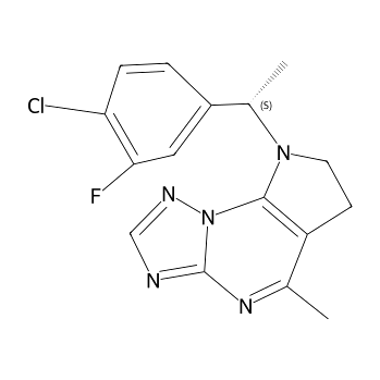 Cc1nc2ncnn2c2c1CCN2[C@@H](C)c1ccc(Cl)c(F)c1